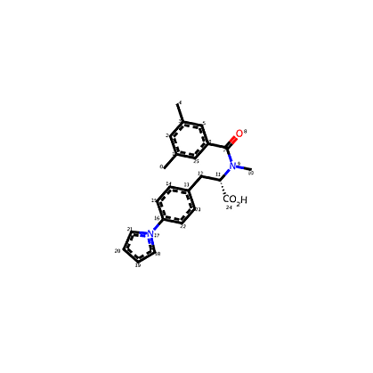 Cc1cc(C)cc(C(=O)N(C)[C@@H](Cc2ccc(-n3cccc3)cc2)C(=O)O)c1